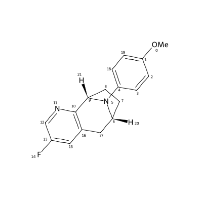 COc1ccc(N2[C@@H]3CC[C@H]2c2ncc(F)cc2C3)cc1